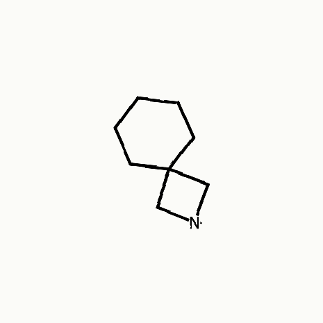 C1CCC2(CC1)C[N]C2